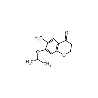 Cc1cc2c(cc1OC(C)C)OCCC2=O